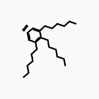 C=C.CCCCCCc1cccc(CCCCCC)c1CCCCCC